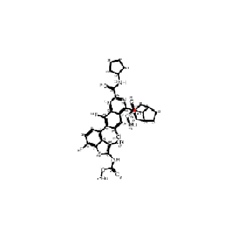 CC(C)(C)OC(=O)Nc1sc2c(F)ccc(-c3c(Cl)cc4c(N5CC6CCC(C5)N6C(=O)OC(C)(C)C)nc(C(=O)NC5CCCC5)nc4c3F)c2c1C#N